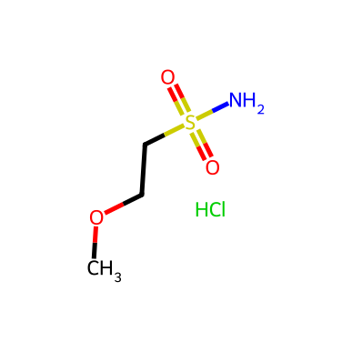 COCCS(N)(=O)=O.Cl